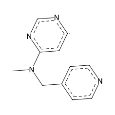 CN(Cc1ccncc1)c1c[c]ncn1